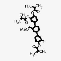 C=C(C)C(=O)Oc1ccc(-c2ccc(-c3ccc(OC(=O)C(=C)C)c(OC(=O)C(=C)C)c3)c(COC)c2)cc1F